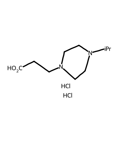 CC(C)N1CCN(CCC(=O)O)CC1.Cl.Cl